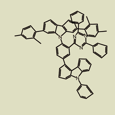 Cc1ccc(-c2ccc3c4ccc(-c5ccc(C)cc5C)cc4n(-c4ccc(-c5cccc6c5c5ccccc5n6-c5ccccc5)cc4-c4nc(-c5ccccc5)nc(-c5ccccc5)n4)c3c2)c(C)c1